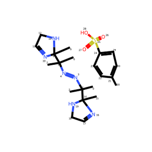 CC(C)(N=NC(C)(C)C1(C)N=CCN1)C1(C)N=CCN1.Cc1ccc(S(=O)(=O)O)cc1